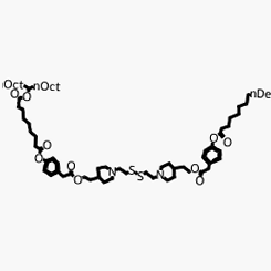 CCCCCCCCCCCCCCCCCC(=O)Oc1ccc(CC(=O)OCCC2CCN(CCSSCCN3CCC(CCOC(=O)Cc4ccc(OC(=O)CCCCCCCC(=O)OC(CCCCCCCC)CCCCCCCC)cc4)CC3)CC2)cc1